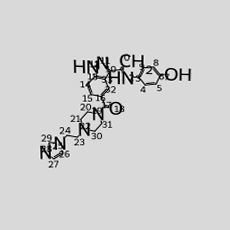 C=C(Nc1ccc(O)cc1)c1n[nH]c2ccc(C(=O)N3CCN(CCn4ccnc4)CC3)cc12